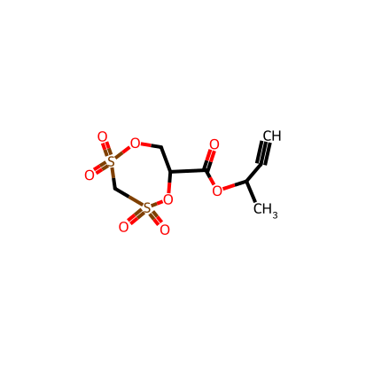 C#CC(C)OC(=O)C1COS(=O)(=O)CS(=O)(=O)O1